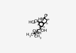 CC(C)(C)NCC(O)c1cc(Cl)c2c(c1)CCC(=O)N2.Cl